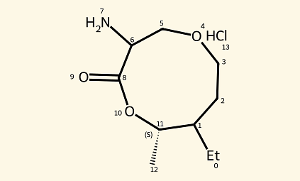 CCC1CCOCC(N)C(=O)O[C@H]1C.Cl